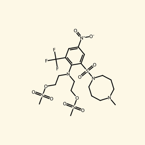 CN1CCCN(S(=O)(=O)c2cc([N+](=O)[O-])cc(C(F)(F)F)c2N(CCOS(C)(=O)=O)CCOS(C)(=O)=O)CCC1